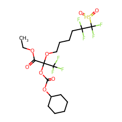 CCOC(=O)C(OCCCCC(F)(F)C(F)(F)[SH](=O)=O)(OC(=O)OC1CCCCC1)C(F)(F)F